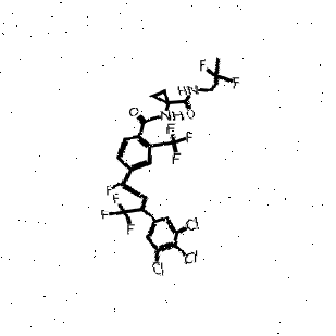 CC(F)(F)CNC(=O)C1(NC(=O)c2ccc(/C(F)=C/C(c3cc(Cl)c(Cl)c(Cl)c3)C(F)(F)F)cc2C(F)(F)F)CC1